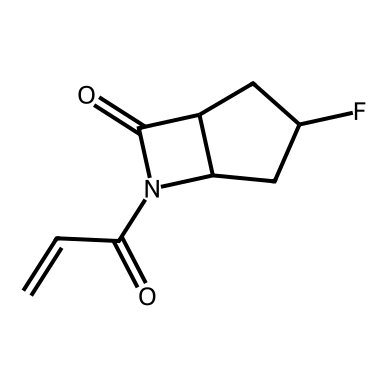 C=CC(=O)N1C(=O)C2CC(F)CC21